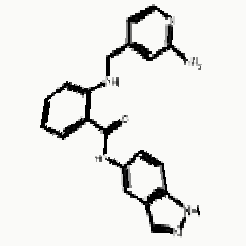 Nc1cc(CNc2ccccc2C(=O)Nc2ccc3[nH]ncc3c2)ccn1